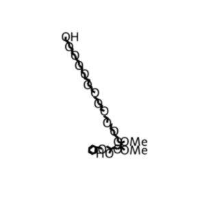 COC(OCCOCCOCCOCCOCCOCCOCCOCCOCCOCCOCCO)C(OC)OCC(O)COCc1ccccc1